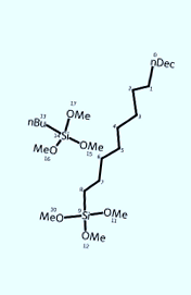 CCCCCCCCCCCCCCCCCC[Si](OC)(OC)OC.CCCC[Si](OC)(OC)OC